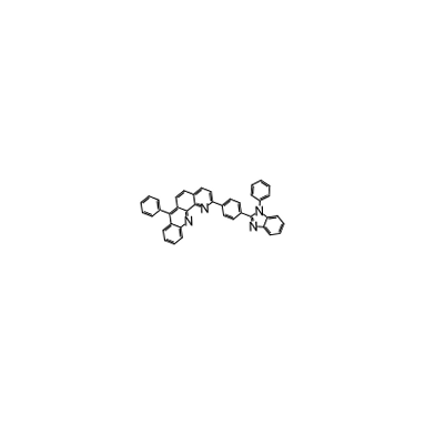 c1ccc(-c2c3ccccc3nc3c2ccc2ccc(-c4ccc(-c5nc6ccccc6n5-c5ccccc5)cc4)nc23)cc1